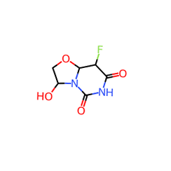 O=C1NC(=O)N2C(O)COC2C1F